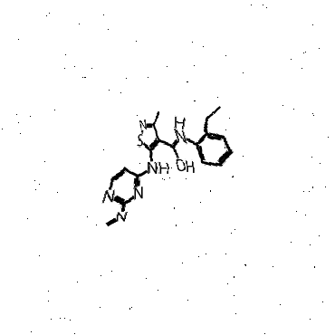 C=Nc1nccc(Nc2snc(C)c2C(O)Nc2ccccc2CC)n1